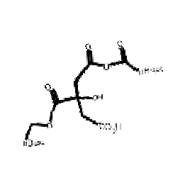 CCCCCCCCCCCOC(=O)C(O)(CC(=O)O)CC(=O)OC(=O)CCCCCCC